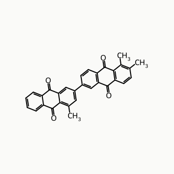 Cc1ccc2c(c1C)C(=O)c1ccc(-c3cc(C)c4c(c3)C(=O)c3ccccc3C4=O)cc1C2=O